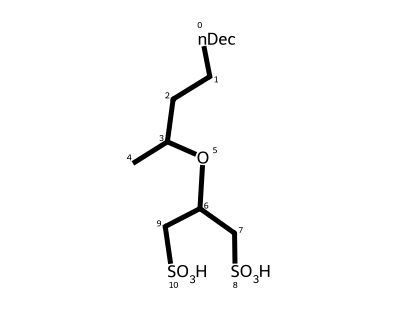 CCCCCCCCCCCCC(C)OC(CS(=O)(=O)O)CS(=O)(=O)O